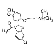 COc1ccc(OCCCNC(C)C)c(C2Sc3cc(Cl)ccc3N2C(C)=O)c1